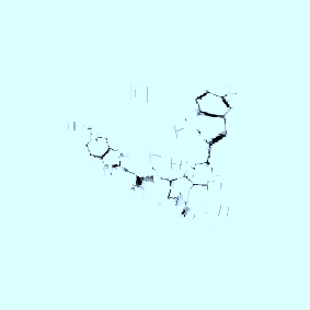 CCC1[C@H](NC(=O)c2cc3cc(Cl)ccc3[nH]2)[C@H](NC(=O)c2nc3c(s2)CN(C(C)C)CC3)CN1C(=O)O.Cl